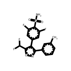 Cc1cccc(-c2noc(C(F)F)c2-c2cc(F)c(S(N)(=O)=O)c(F)c2)c1